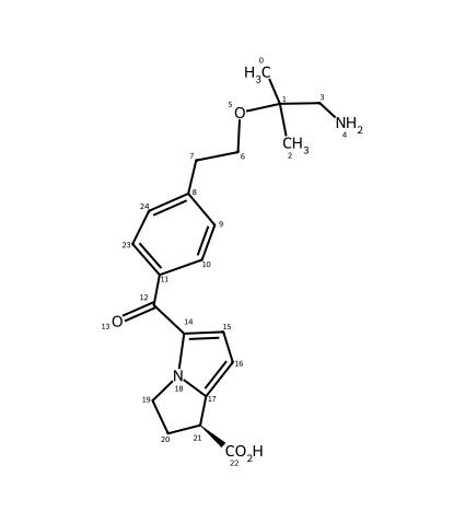 CC(C)(CN)OCCc1ccc(C(=O)c2ccc3n2CC[C@@H]3C(=O)O)cc1